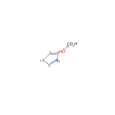 O=C(O)O.c1cscn1